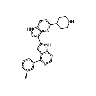 Fc1cccc(-c2nccc3[nH]c(-c4n[nH]c5ccc(C6CCNCC6)nc45)cc23)c1